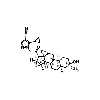 C[C@@]1(O)CC[C@H]2[C@H](CC[C@@H]3[C@@H]2CC[C@@]2(C)[C@H]3[C@@H]3C[C@@H]3[C@@H]2C(=O)Cn2ncc(C#N)c2C2CC2)C1